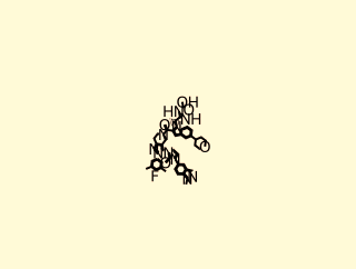 Cc1cc(-n2nc3c(c2-n2ccn(-c4ccc5c(cnn5C)c4)c2=O)CN(C(=O)c2cc4cc(C5CCOCC5)ccc4n2[C@H](C)C(=N)NC(=O)O)CC3)cc(C)c1F